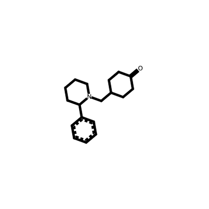 O=C1CCC(CN2CCCCC2c2ccccc2)CC1